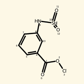 O=C(OCl)c1cccc(N[SH](=O)=O)c1